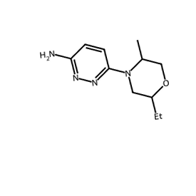 CCC1CN(c2ccc(N)nn2)C(C)CO1